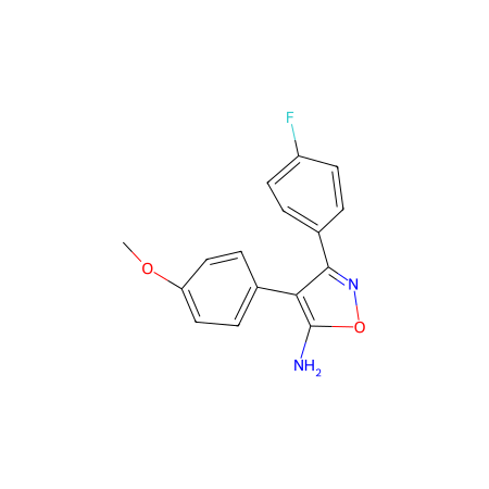 COc1ccc(-c2c(-c3ccc(F)cc3)noc2N)cc1